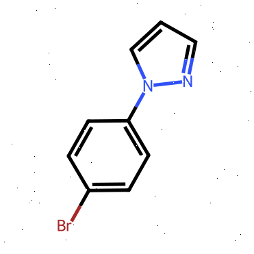 Brc1ccc(-n2cccn2)cc1